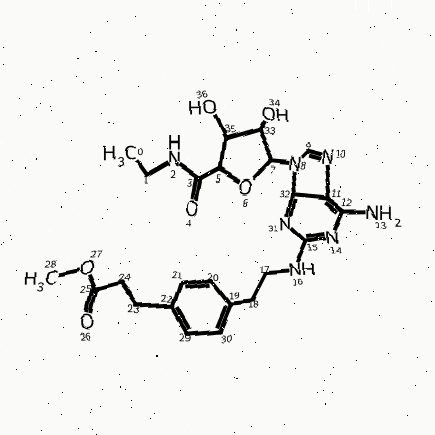 CCNC(=O)C1OC(n2cnc3c(N)nc(NCCc4ccc(CCC(=O)OC)cc4)nc32)C(O)C1O